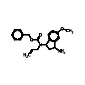 C=CCN(C(=O)OCc1ccccc1)C1CC(N)c2cc(OC)ccc21